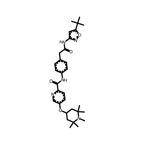 CN1C(C)(C)CC(Oc2ccc(C(=O)Nc3ccc(CC(=O)Nc4cc(C(C)(C)C)on4)cc3)nc2)CC1(C)C